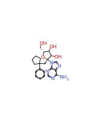 Nc1ncnc2c1ncn2[C@]1(CC2(c3ccccc3)CCCC2)O[C@H](CO)[C@@H](O)[C@H]1O